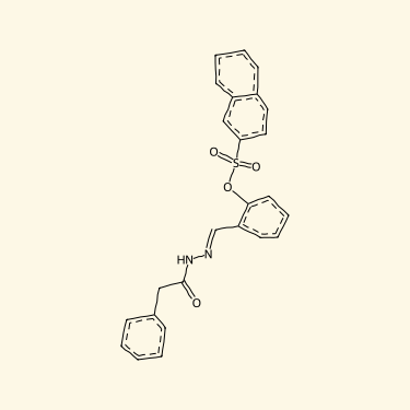 O=C(Cc1ccccc1)NN=Cc1ccccc1OS(=O)(=O)c1ccc2ccccc2c1